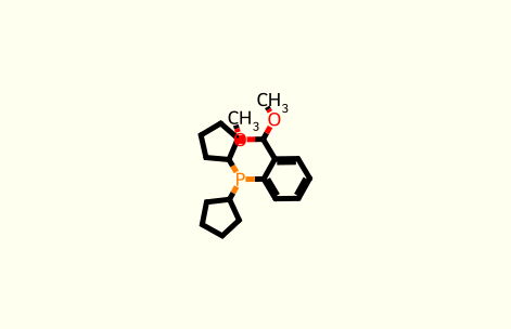 COC(OC)c1ccccc1P(C1CCCC1)C1CCCC1